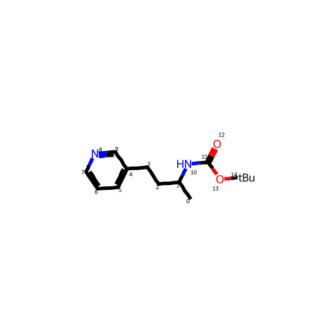 CC(CCc1cccnc1)NC(=O)OC(C)(C)C